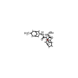 CC1CC2CC(C1)CP(NC(=O)CC1CC3CCC(C1)N3CC(=O)NC(C)(C)C)C2